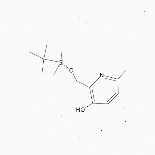 Cc1ccc(O)c(CO[Si](C)(C)C(C)(C)C)n1